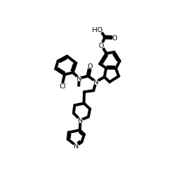 CN(C(=O)N(CCC1CCN(c2ccncc2)CC1)C1CCc2ccc(OC(=O)O)cc21)c1ccccc1Cl